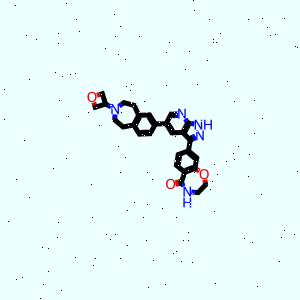 O=C1NCCOc2cc(-c3n[nH]c4ncc(-c5ccc6c(c5)CCN(C5COC5)CC6)cc34)ccc21